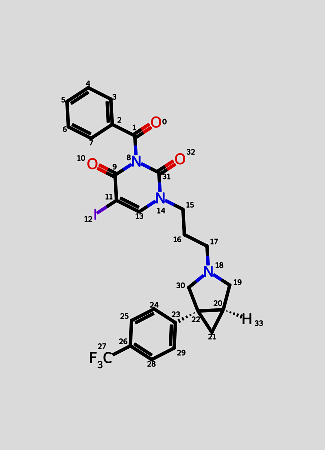 O=C(c1ccccc1)n1c(=O)c(I)cn(CCCN2C[C@H]3C[C@@]3(c3ccc(C(F)(F)F)cc3)C2)c1=O